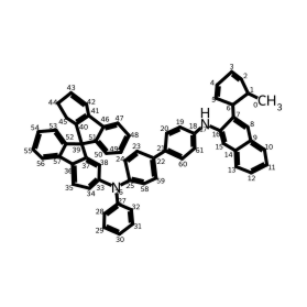 CC1C=CC=CC1c1cc2ccccc2cc1Nc1ccc(-c2ccc(N(c3ccccc3)c3ccc4c(c3)C3(C5=C(C=CCC5)c5ccccc53)c3ccccc3-4)cc2)cc1